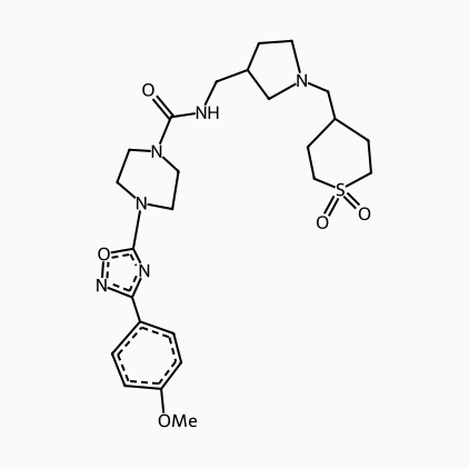 COc1ccc(-c2noc(N3CCN(C(=O)NCC4CCN(CC5CCS(=O)(=O)CC5)C4)CC3)n2)cc1